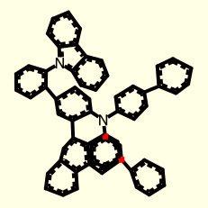 c1ccc(-c2ccc(N(c3cccc(-c4ccccc4)c3)c3ccc(-c4ccccc4-n4c5ccccc5c5ccccc54)cc3-c3cc4ccccc4c4ccccc34)cc2)cc1